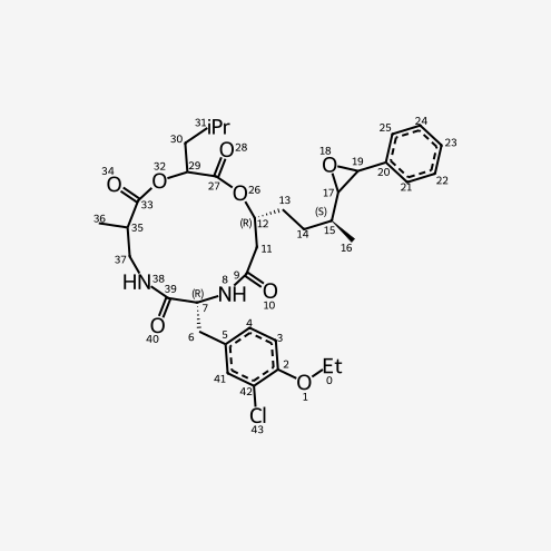 CCOc1ccc(C[C@H]2NC(=O)C[C@@H](CC[C@H](C)C3OC3c3ccccc3)OC(=O)C(CC(C)C)OC(=O)C(C)CNC2=O)cc1Cl